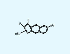 CCCCc1cc2cc3ccc(CCC)cc3cc2c(F)c1F